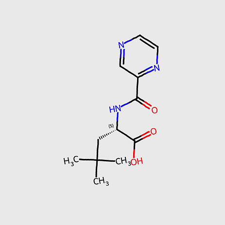 CC(C)(C)C[C@H](NC(=O)c1cnccn1)C(=O)O